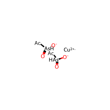 CC(=O)[AsH](=O)[O-].CC(=O)[AsH](=O)[O-].[Cu+2]